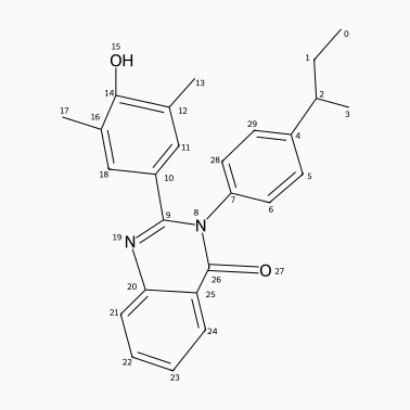 CCC(C)c1ccc(-n2c(-c3cc(C)c(O)c(C)c3)nc3ccccc3c2=O)cc1